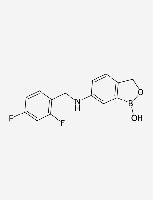 OB1OCc2ccc(NCc3ccc(F)cc3F)cc21